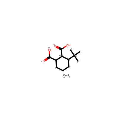 CC(C)(C)C1CCCC(C(=O)O)C1C(=O)O.[CaH2]